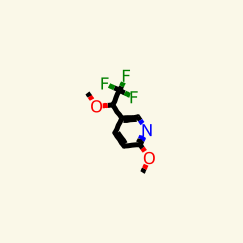 COc1ccc(C(OC)C(F)(F)F)cn1